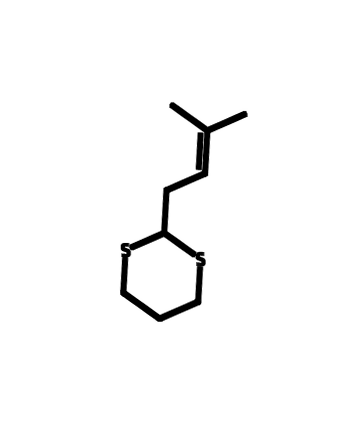 CC(C)=CCC1SCCCS1